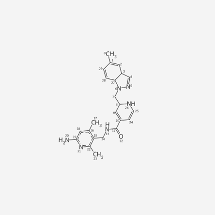 CC1=CC2C=NN(CC3C=C(C(=O)NCc4c(C)cc(N)nc4C)C=CN3)C2C=C1